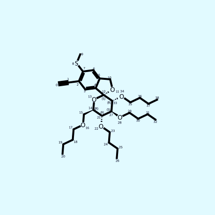 C#Cc1cc2c(cc1SC)CO[C@]21O[C@H](COCCCC)[C@@H](OCCCC)[C@H](OCCCC)[C@H]1OCCCC